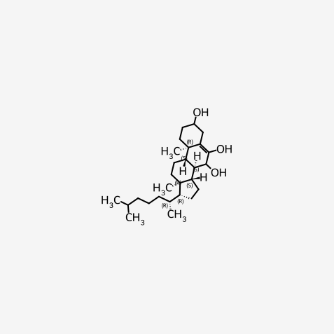 CC(C)CCC[C@@H](C)[C@H]1CC[C@H]2[C@@H]3C(O)C(O)=C4CC(O)CC[C@]4(C)[C@H]3CC[C@]12C